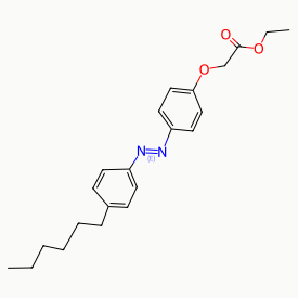 CCCCCCc1ccc(/N=N/c2ccc(OCC(=O)OCC)cc2)cc1